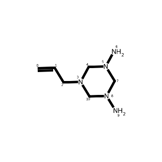 C=CCN1CN(N)CN(N)C1